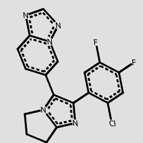 Fc1cc(Cl)c(-c2nc3n(c2-c2ccc4ncnn4c2)CCC3)cc1F